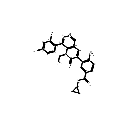 CCn1c(=O)c(-c2cc(C(=O)NC3CC3)ccc2C)cc2cnnc(-c3ccc(F)cc3F)c21